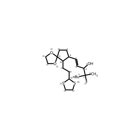 CCCCC(C)(F)C(O)C=CC1CCC2(OCCO2)C1CCC1SCCS1